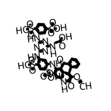 C#COc1c2c3c(c(Nc4cc(Nc5nc(NCC(=O)O)nc(Nc6cc(S(=O)(=O)O)ccc6S(=O)(=O)O)n5)c(S(=O)(=O)O)cc4S(=O)(=O)O)ccc3[nH]c1=O)C(=O)c1ccccc1-2